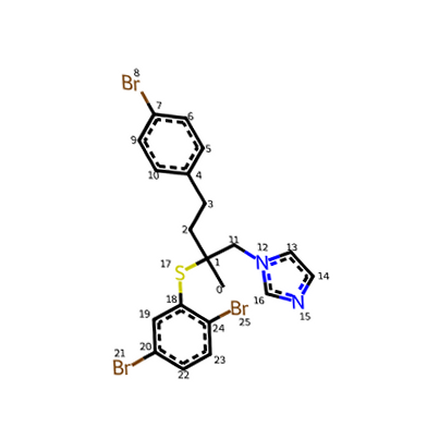 CC(CCc1ccc(Br)cc1)(Cn1ccnc1)Sc1cc(Br)ccc1Br